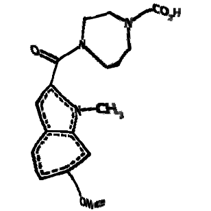 COc1ccc2cc(C(=O)N3CCN(C(=O)O)CC3)n(C)c2c1